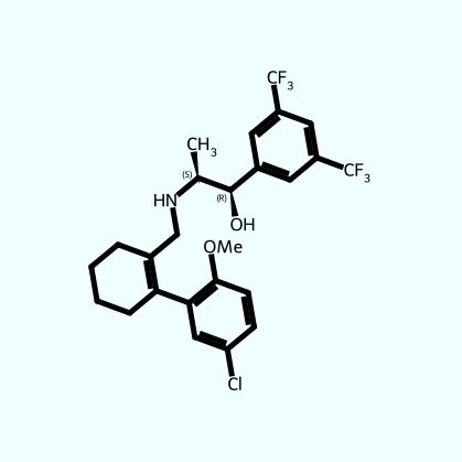 COc1ccc(Cl)cc1C1=C(CN[C@@H](C)[C@H](O)c2cc(C(F)(F)F)cc(C(F)(F)F)c2)CCCC1